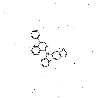 c1ccc(-c2cnc(-n3c4ccccc4c4cc5ccoc5cc43)c3ccccc23)cc1